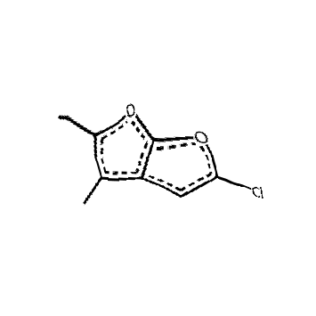 Cc1oc2oc(Cl)cc2c1C